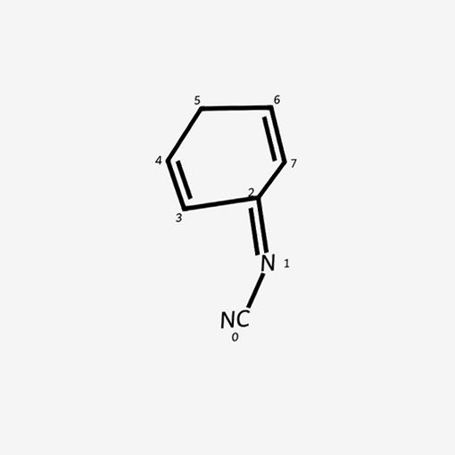 N#CN=C1C=CCC=C1